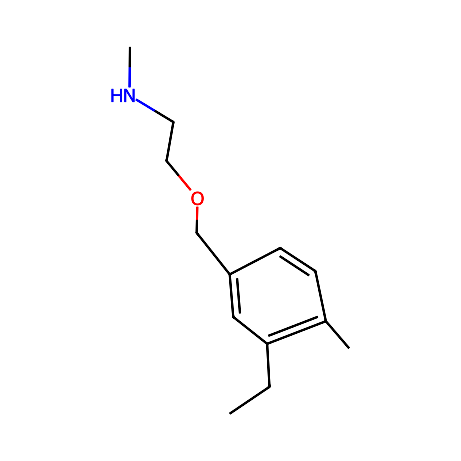 CCc1cc(COCCNC)ccc1C